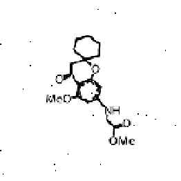 COC(=O)CNc1cc(OC)c2c(c1)OC1(CCCCC1)CC2=O